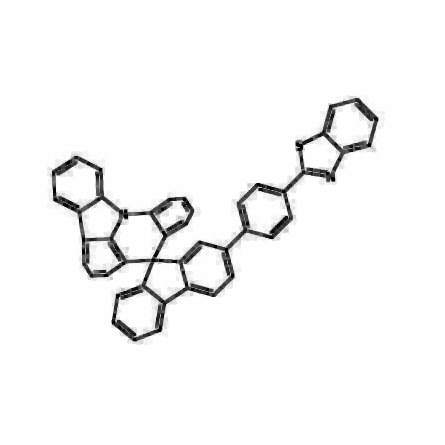 c1ccc2c(c1)-c1ccc(-c3ccc(-c4nc5ccccc5s4)cc3)cc1C21c2ccccc2-n2c3ccccc3c3cccc1c32